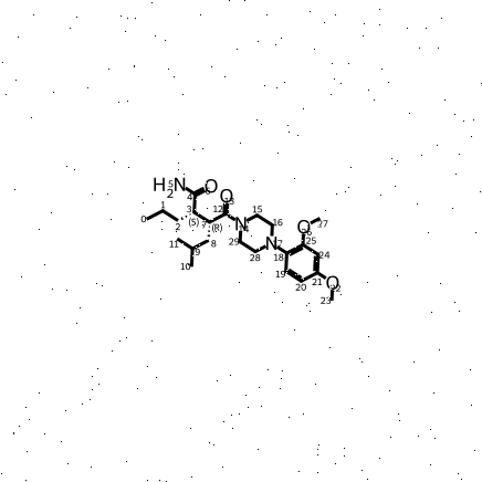 CCC[C@H](C(N)=O)[C@@H](CC(C)C)C(=O)N1CCN(c2ccc(OC)cc2OC)CC1